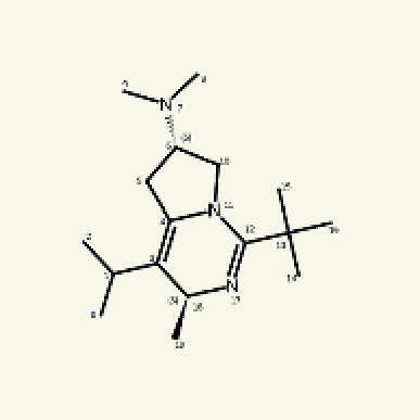 CC(C)C1=C2C[C@H](N(C)C)CN2C(C(C)(C)C)=N[C@H]1C